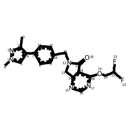 Cc1nn(C)cc1-c1ccc(CN2Cc3ncnc(OCC(F)F)c3C2=O)cc1